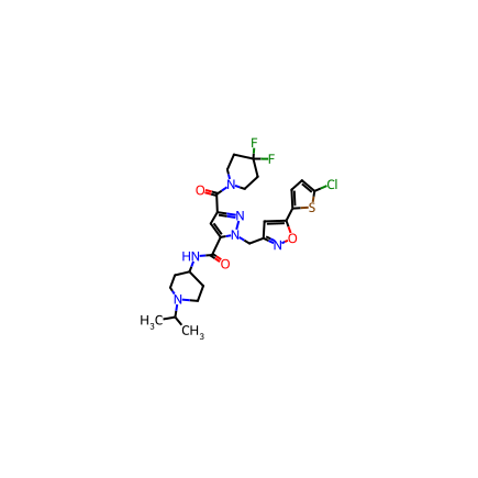 CC(C)N1CCC(NC(=O)c2cc(C(=O)N3CCC(F)(F)CC3)nn2Cc2cc(-c3ccc(Cl)s3)on2)CC1